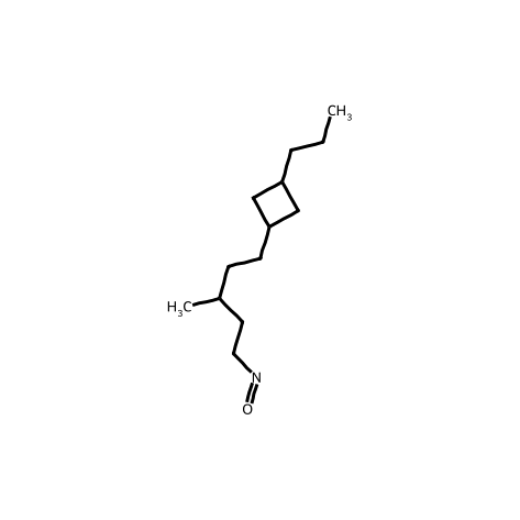 CCCC1CC(CCC(C)CCN=O)C1